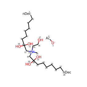 CC(=O)[O-].CCCCCCCCCCCCCCCCC(O)(O)C[N+](C)(CCO)CC(O)(O)CCCCCCCCCCCCCCCC